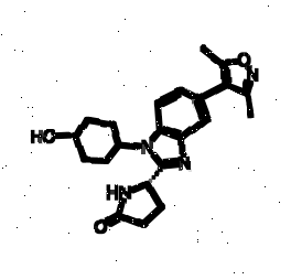 Cc1noc(C)c1-c1ccc2c(c1)nc([C@@H]1CCC(=O)N1)n2C1CCC(O)CC1